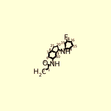 C=CC(=O)Nc1ccc2c(c1)C(Nc1cccc(F)c1)CC2